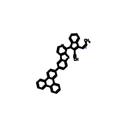 C#Cc1c(/C=C\C)c2ccccc2n1-c1nccc2c1sc1ccc(-c3ccc4c5ccccc5c5ccccc5c4c3)cc12